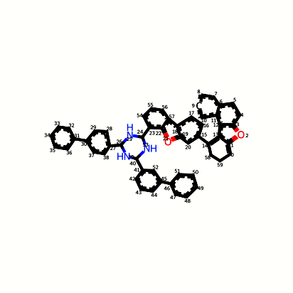 C1=c2oc3ccc4ccccc4c3c2=C(c2ccc3c(c2)oc2c(C4NC(c5ccc(-c6ccccc6)cc5)NC(c5cccc(-c6ccccc6)c5)N4)cccc23)CC1